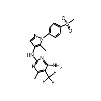 Cc1nc(Nc2cnn(-c3ccc(S(C)(=O)=O)cc3)c2C)nc(N)c1C(F)(F)F